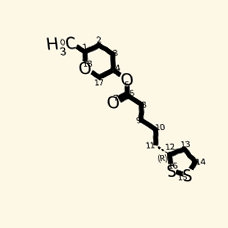 CC1CCC(OC(=O)CCCC[C@@H]2CCSS2)CO1